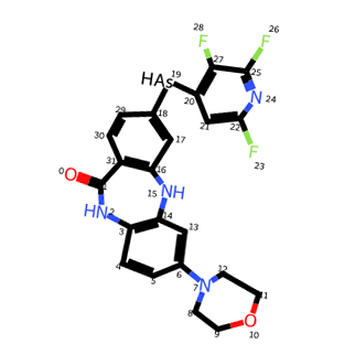 O=C1Nc2ccc(N3CCOCC3)cc2Nc2cc([AsH]c3cc(F)nc(F)c3F)ccc21